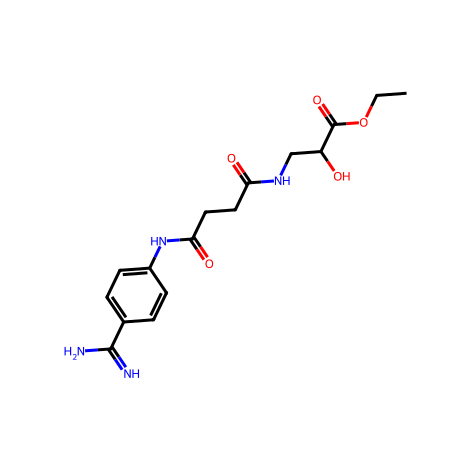 CCOC(=O)C(O)CNC(=O)CCC(=O)Nc1ccc(C(=N)N)cc1